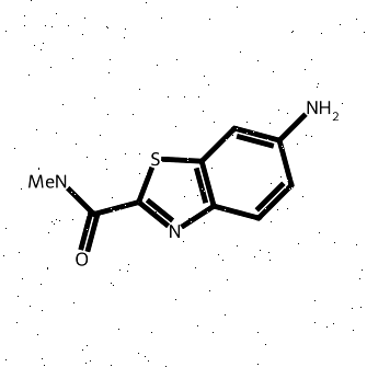 CNC(=O)c1nc2ccc(N)cc2s1